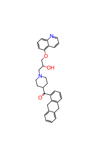 O=C(c1cccc2c1Cc1ccccc1C2)C1CCN(CC(O)COc2cccc3ncccc23)CC1